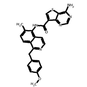 COc1ccc(Cc2nccc3c(NC(=O)c4csc5c(N)ncnc45)c(C)ccc23)cc1